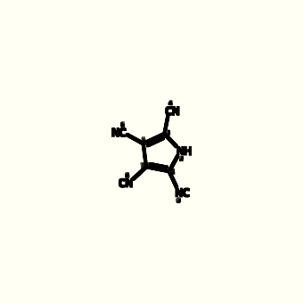 [C-]#[N+]c1[nH]c(C#N)c(C#N)c1[N+]#[C-]